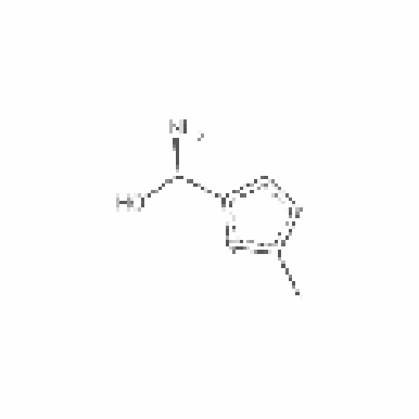 Cc1ccc([C@H](N)O)s1